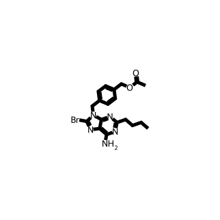 CCCCc1nc(N)c2nc(Br)n(Cc3ccc(COC(C)=O)cc3)c2n1